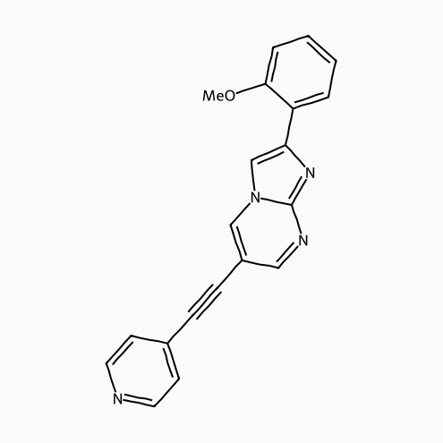 COc1ccccc1-c1cn2cc(C#Cc3ccncc3)cnc2n1